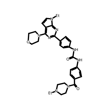 CCN1CCN(C(=O)c2ccc(NC(=O)Nc3ccc(-c4nc(N5CCOCC5)c5ccn(CC)c5n4)cc3)cc2)CC1